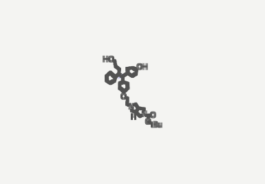 CC(C)(C)OC(=O)N1CC2CN(CCOc3ccc(/C(=C(/CCCO)c4ccccc4)c4ccc(O)cc4)cc3)C[C@H]2C1